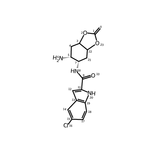 C=C1OC2C[C@@H](N)[C@@H](NC(=O)c3cc4cc(Cl)ccc4[nH]3)CC2O1